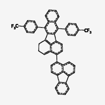 FC(F)(F)c1ccc(-c2c3c(c(-c4ccc(C(F)(F)F)cc4)c4ccccc24)-c2ccc(-c4ccc5c6c(cccc46)-c4ccccc4-5)c4c2=C3CCC=4)cc1